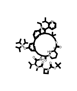 CCn1c(-c2cccnc2C(C)C)c2c3cc(ccc31)-c1cc(cc(O[Si](C(C)C)(C(C)C)C(C)C)c1)C[C@H](NC(=O)[C@H](C(C)C)N(C)C(=O)[C@H]1CCN1C(=O)OC(C)(C)C)C(=O)N1CCC[C@H](N1)C(=O)OCC(C)(C)C2